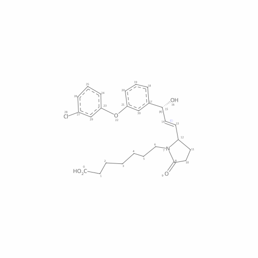 O=C(O)CCCCCCN1C(=O)CCC1/C=C/[C@@H](O)c1cccc(Oc2cccc(Cl)c2)c1